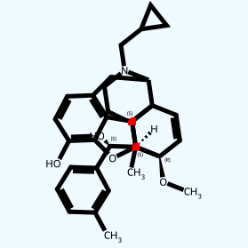 CO[C@]12C=CC3(CC1(C)[C@@H](O)c1cccc(C)c1)C1Cc4ccc(O)c5c4[C@@]3(CCN1CC1CC1)[C@@H]2O5